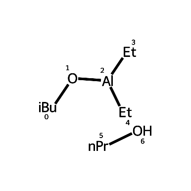 CCC(C)[O][Al]([CH2]C)[CH2]C.CCCO